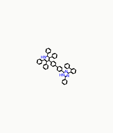 c1ccc(C2=NC(c3ccccc3-c3ccccc3)=NC(c3ccc(-c4ccc(C5=C(c6ccccc6)C(c6ccccc6)NC(c6ccccc6)=C5c5ccccc5)cc4)cc3)N2)cc1